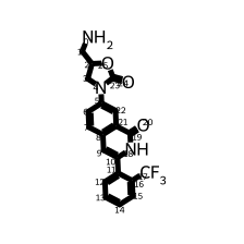 NCC1CN(c2ccc3cc(-c4ccccc4C(F)(F)F)[nH]c(=O)c3c2)C(=O)O1